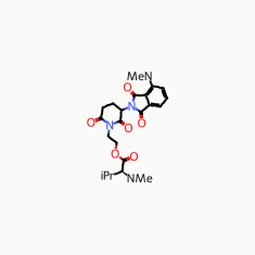 CNc1cccc2c1C(=O)N(C1CCC(=O)N(CCOC(=O)[C@@H](NC)C(C)C)C1=O)C2=O